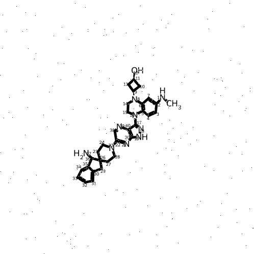 CNc1ccc2c(c1)N([C@H]1C[C@H](O)C1)CCN2c1n[nH]c2nc(N3CCC4(CC3)Cc3ccccc3C4N)cnc12